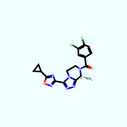 C[C@@H]1c2nnc(-c3noc(C4CC4)n3)n2CCN1C(=O)c1ccc(F)c(Cl)c1